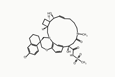 CN1CCC/C=C/[C@H](O)[C@@H]2CC[C@H]2CN2C[C@@]3(CCCc4cc(Cl)ccc43)COc3ccc(cc32)[C@@](O)(C(=O)NS(C)(=O)=O)CC1=O